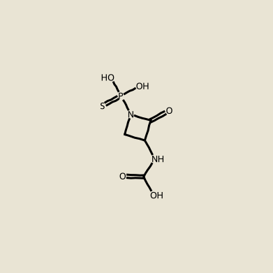 O=C(O)NC1CN(P(O)(O)=S)C1=O